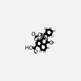 CC(=O)O.O=C(O)c1ccc2c3c1cccc3c(=O)n1c3ccccc3nc21